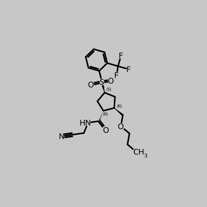 CCCOC[C@@H]1C[C@H](S(=O)(=O)c2ccccc2C(F)(F)F)C[C@H]1C(=O)NCC#N